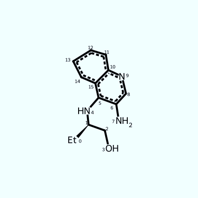 CC[C@H](CO)Nc1c(N)cnc2ccccc12